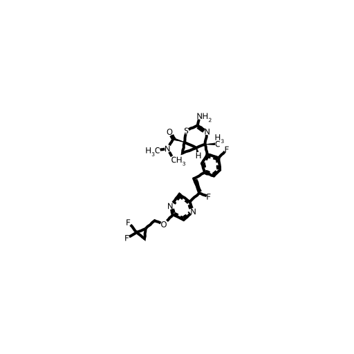 CN(C)C(=O)[C@]12C[C@H]1[C@@](C)(c1cc(/C=C(\F)c3cnc(OCC4CC4(F)F)cn3)ccc1F)N=C(N)S2